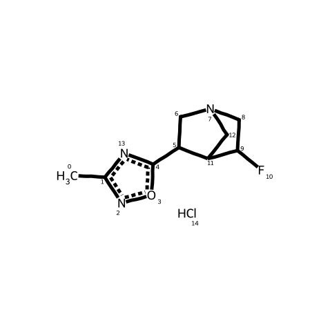 Cc1noc(C2CN3CC(F)C2C3)n1.Cl